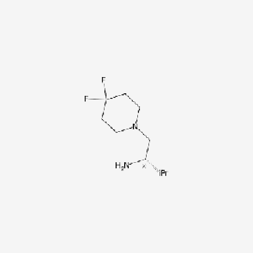 CC(C)[C@H](N)CN1CCC(F)(F)CC1